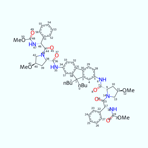 CCCCC1(CCCC)c2cc(NC(=O)[C@@H]3C[C@@H](OC)CN3C(=O)[C@H](NC(=O)OC)c3ccccc3)ccc2-c2ccc(NC(=O)[C@@H]3C[C@@H](OC)CN3C(=O)[C@H](NC(=O)OC)c3ccccc3)cc21